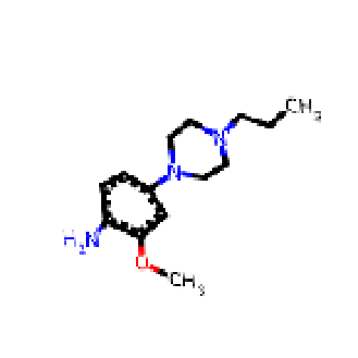 CCCN1CCN(c2ccc(N)c(OC)c2)CC1